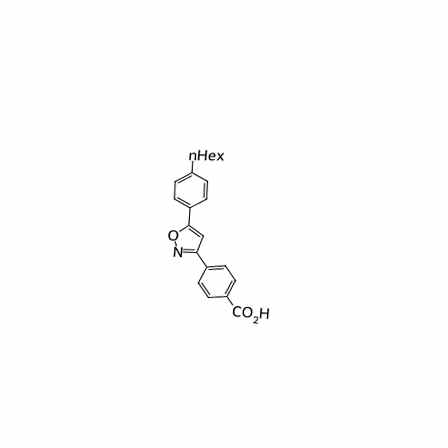 CCCCCCc1ccc(-c2cc(-c3ccc(C(=O)O)cc3)no2)cc1